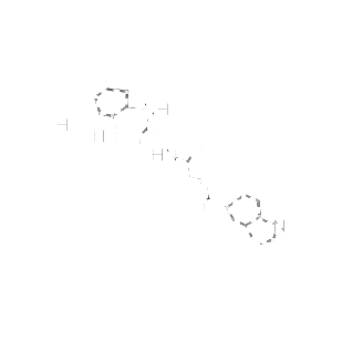 Cc1cccc(NC(=O)CNC(=O)COC(=O)c2ccc3ncsc3c2)c1C